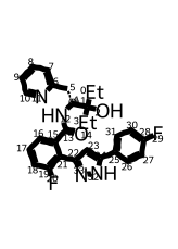 CCC(O)(CC)[C@@H](Cc1ccccn1)NC(=O)c1cccc(F)c1-c1cc(-c2ccc(F)cc2)[nH]n1